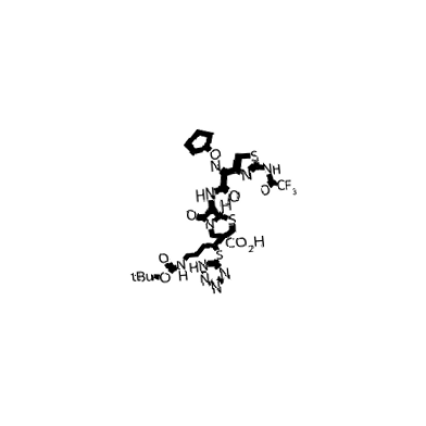 CC(C)(C)OC(=O)NCCCC(Sc1nnn[nH]1)C1(C(=O)O)CS[C@@H]2C(NC(=O)C(=NOC3CCCC3)c3csc(NC(=O)C(F)(F)F)n3)C(=O)N2C1